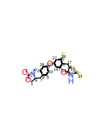 CN1C(=O)OCC1Cc1ccc(Oc2ccc(CC3SC(=S)NC3=O)c(F)c2)cc1